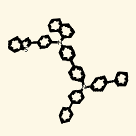 c1ccc(-c2ccc(N(c3ccc(-c4ccccc4)cc3)c3ccc(-c4ccc(N(c5ccc(-c6cc7ccccc7s6)cc5)c5cccc6ccccc56)cc4)cc3)cc2)cc1